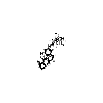 C[C@@H](c1ccccc1F)N1C(=O)CCc2cc(NC(=O)NC(C)(C)C)ccc21